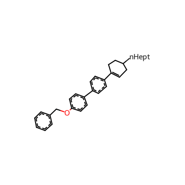 CCCCCCCC1CC=C(c2ccc(-c3ccc(OCc4ccccc4)cc3)cc2)CC1